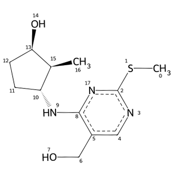 CSc1ncc(CO)c(N[C@@H]2CC[C@@H](O)[C@H]2C)n1